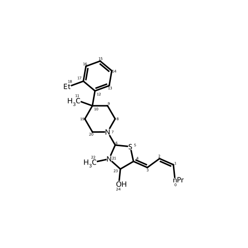 CCC/C=C\C=C1/SC(N2CCC(C)(c3ccccc3CC)CC2)N(C)C1O